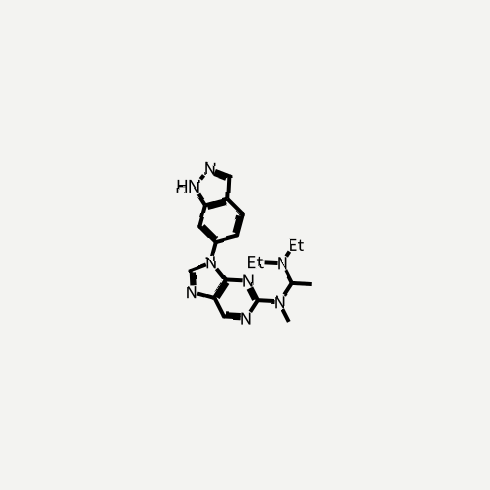 CCN(CC)C(C)N(C)c1ncc2ncn(-c3ccc4cn[nH]c4c3)c2n1